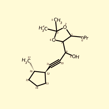 CCCC1OC(C)(C)OC1C(O)C#C[C@H]1CCC[C@@H]1C